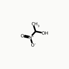 C[C](O)[N+](=O)[O-]